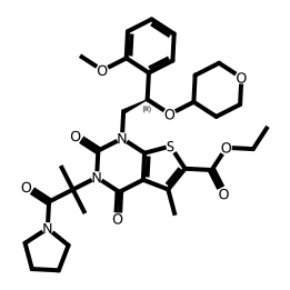 CCOC(=O)c1sc2c(c1C)c(=O)n(C(C)(C)C(=O)N1CCCC1)c(=O)n2C[C@H](OC1CCOCC1)c1ccccc1OC